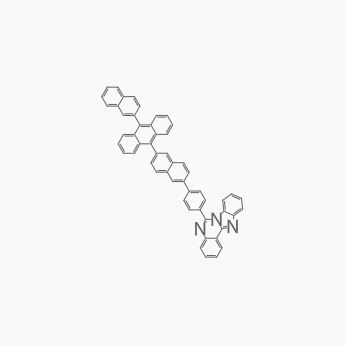 c1ccc2cc(-c3c4ccccc4c(-c4ccc5cc(-c6ccc(-c7nc8ccccc8c8nc9ccccc9n78)cc6)ccc5c4)c4ccccc34)ccc2c1